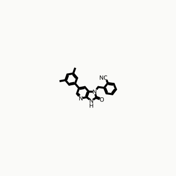 Cc1cc(C)cc(-c2cnc3[nH]c(=O)n(Cc4ccccc4C#N)c3c2)c1